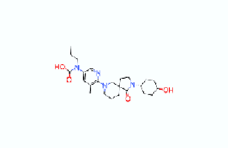 CCCN(C(=O)O)c1cnc(N2CCCC3(CCN([C@H]4CC[C@H](O)CC4)C3=O)C2)c(C)c1